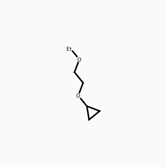 CCO[CH]COC1CC1